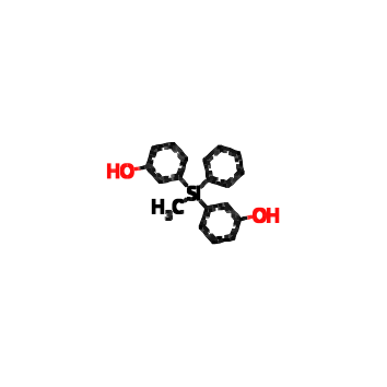 C[Si](c1ccccc1)(c1cccc(O)c1)c1cccc(O)c1